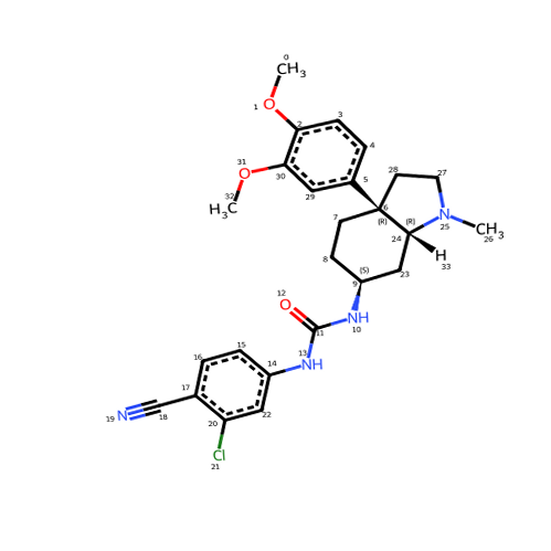 COc1ccc([C@]23CC[C@H](NC(=O)Nc4ccc(C#N)c(Cl)c4)C[C@H]2N(C)CC3)cc1OC